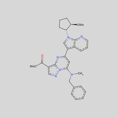 COC(=O)c1cnn2c(N(C)Cc3ccccc3)cc(-c3cn([C@@H]4CCC[C@H]4OC)c4ncccc34)nc12